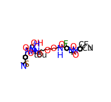 Cc1ncsc1-c1ccc(CNC(=O)[C@@H]2C[C@@H](O)CN2C(=O)C(NC(=O)CCCOCCOCCNC(=O)c2ccc(N3C(=O)N(c4ccc(C#N)c(C(F)(F)F)c4)C(=O)C3(C)C)cc2F)C(C)(C)C)cc1